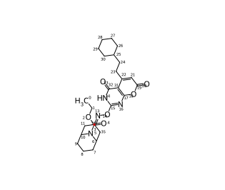 CCOC(=O)N1C2CCCC1CC(=NOc1nc3oc(=O)cc(CCC4CCCCC4)c3c(=O)[nH]1)C2